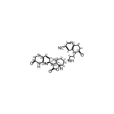 N#Cc1cnc2c(c1)N(CCN[C@H]1CC[C@H]3[C@H](C1)OC(=O)N3c1ccc3c(n1)NC(=O)CS3)C(=O)CC2